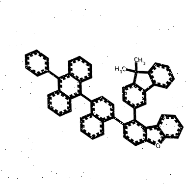 CC1(C)c2ccccc2-c2cc(-c3c(-c4ccc(-c5c6ccccc6c(-c6ccccc6)c6ccccc56)c5ccccc45)ccc4oc5ccccc5c34)ccc21